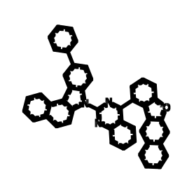 c1ccc(-c2ccc3c(c2)c2c4ccccc4ccc2n3-c2nc(-c3cccc4oc5cc6ccccc6cc5c34)c3ccccc3n2)cc1